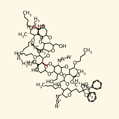 CCCCOC1[C@H](N=[N+]=[N-])C(O[C@@H](C(OC(CO)O[C@@H]2C(CCC(C)(C)[Si](O)(c3ccccc3)c3ccccc3)OC[C@@H](N=[N+]=[N-])C2OCCCC)C(=O)OC)[C@H](C)OCCCC)OC(CO)[C@H]1OC(CO)OC(C(=O)OC)[C@H](O[C@H]1OC(CO)[C@@H](OC(CO)OC(C(=O)OC)[C@@H](OCCCC)[C@H](C)OCCCC)C(OCCCC)[C@@H]1N=[N+]=[N-])[C@H](C)OCCCC